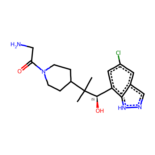 CC(C)(C1CCN(C(=O)CN)CC1)[C@H](O)c1cc(Cl)cc2cn[nH]c12